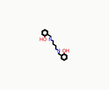 Oc1ccccc1C=NCCCCN=Cc1ccccc1O